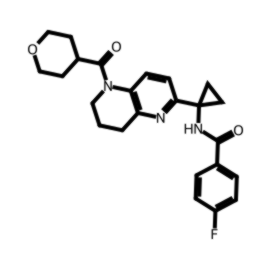 O=C(NC1(c2ccc3c(n2)CCCN3C(=O)C2CCOCC2)CC1)c1ccc(F)cc1